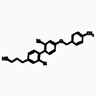 CCc1cc(CCCO)ccc1-c1ccc(OCc2ccc(C)cc2)cc1CC